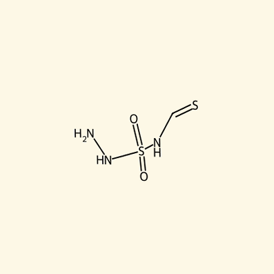 NNS(=O)(=O)NC=S